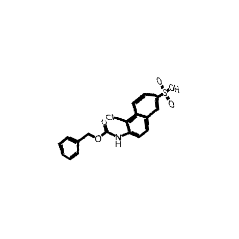 O=C(Nc1ccc2cc(S(=O)(=O)O)ccc2c1Cl)OCc1ccccc1